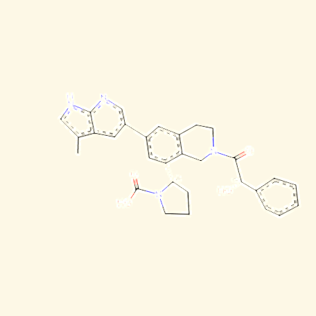 Cc1c[nH]c2ncc(-c3cc4c(c([C@@H]5CCCN5C(=O)O)c3)CN(C(=O)[C@@H](O)c3ccccc3)CC4)cc12